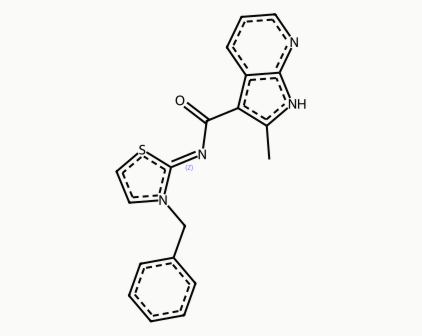 Cc1[nH]c2ncccc2c1C(=O)/N=c1\sccn1Cc1ccccc1